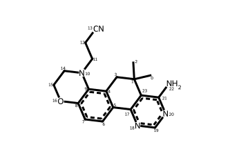 CC1(C)Cc2c(ccc3c2N(CCC#N)CCO3)-c2ncnc(N)c21